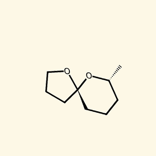 C[C@@H]1CCC[C@]2(CCCO2)O1